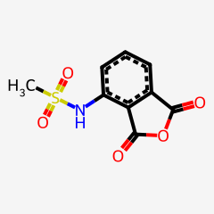 CS(=O)(=O)Nc1cccc2c1C(=O)OC2=O